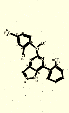 CCN(c1nc(-c2ccccc2C(F)(F)F)c2[nH]ncc2n1)c1ccc(C(F)(F)F)cc1Cl